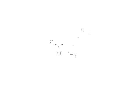 CCCC[C@H](C)ON(O)O